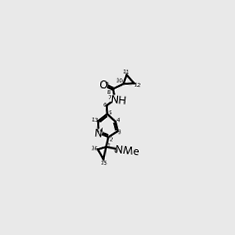 CNC1(c2ccc(CNC(=O)C3CC3)cn2)CC1